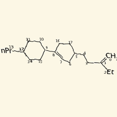 C=C(CC)CCC1CC=C(C2CCC(CCC)CC2)CC1